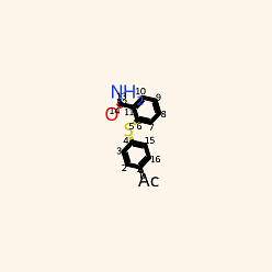 CC(=O)c1ccc(Sc2ccccc2C(N)=O)cc1